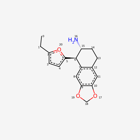 CCc1ccc([C@@H]2c3cc4c(cc3CC[C@H]2N)OCO4)o1